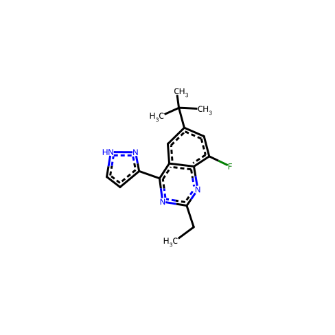 CCc1nc(-c2cc[nH]n2)c2cc(C(C)(C)C)cc(F)c2n1